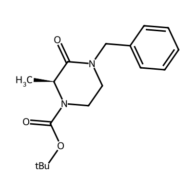 C[C@H]1C(=O)N(Cc2ccccc2)CCN1C(=O)OC(C)(C)C